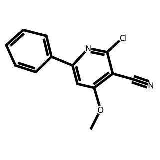 COc1cc(-c2ccccc2)nc(Cl)c1C#N